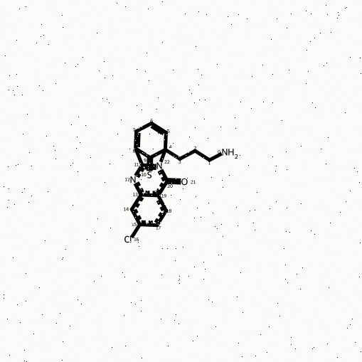 NCCCC12C=CC=C(C1=S)c1nc3cc(Cl)ccc3c(=O)n12